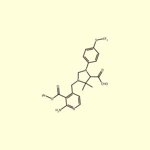 CC(C)OC(=O)c1c(CN2CN(c3ccc(SC(F)(F)F)cc3)C(C(=O)C=O)C2(C)C)ccnc1N